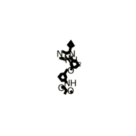 COC(C)C(=O)Nc1cccc(COc2cccc(C3=NC(C4=CC=C4)=C4C=NC=C[N+]34N)c2)c1